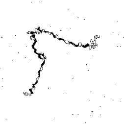 CC(COCCOCCOCCOCCOCCOP(=O)(O)OC(C)(C)C)OP(=O)(O)OCCCCc1cn(CCOCCOCCOCCC(C)(C)C)nn1